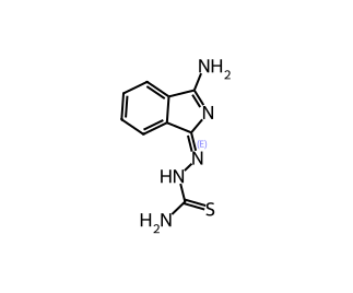 NC(=S)N/N=C1/N=C(N)c2ccccc21